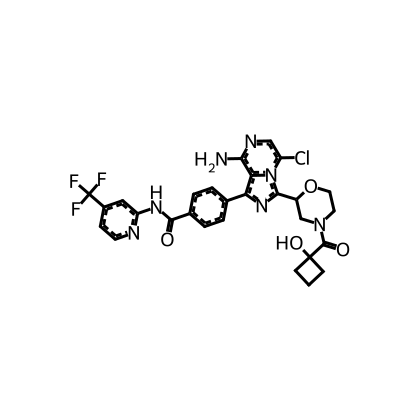 Nc1ncc(Cl)n2c(C3CN(C(=O)C4(O)CCC4)CCO3)nc(-c3ccc(C(=O)Nc4cc(C(F)(F)F)ccn4)cc3)c12